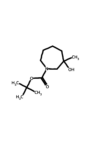 CC1(O)CCCCN(C(=O)OC(C)(C)C)C1